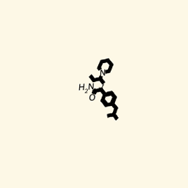 CCC(C[C@@H](C(N)=O)c1ccc(CC(C)C)cc1)N1CCCCC1